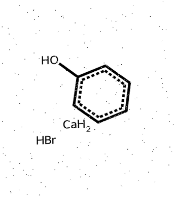 Br.Oc1ccccc1.[CaH2]